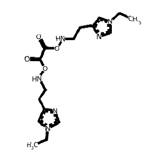 CCn1cnc(CCNOC(=O)C(=O)ONCCc2cn(CC)cn2)c1